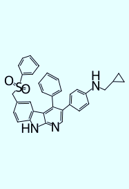 O=S(=O)(Cc1ccc2[nH]c3ncc(-c4ccc(NCC5CC5)cc4)c(-c4ccccc4)c3c2c1)c1ccccc1